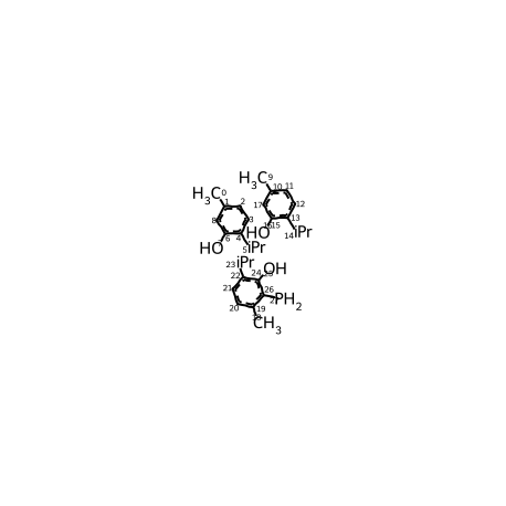 Cc1ccc(C(C)C)c(O)c1.Cc1ccc(C(C)C)c(O)c1.Cc1ccc(C(C)C)c(O)c1P